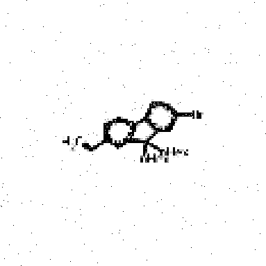 C=Cc1ccc2c(c1)C(CCCCCC)(CCCCCC)c1cc(Br)ccc1-2